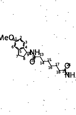 COc1ccc2c(c1)CCC2NC(=O)CCCCCCC(N)=O